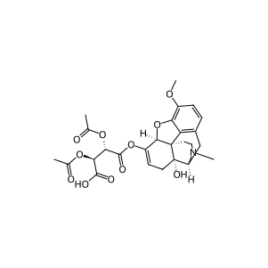 COc1ccc2c3c1O[C@@H]1C(OC(=O)[C@@H](OC(C)=O)[C@H](OC(C)=O)C(=O)O)=CC[C@]4(O)[C@H](C2)N(C)CC[C@@]314